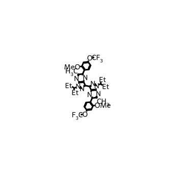 CCC(CC)n1nc(-c2nn(C(CC)CC)c3nc(C)c(-c4ccc(OC(F)(F)F)cc4OC)nc23)c2nc(-c3ccc(OC(F)(F)F)cc3OC)c(C)nc21